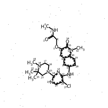 CNC(=O)COc1cc2cc(Nc3nc(N4CCN(C)C(C)(C)C4)ncc3Cl)ccc2n(C)c1=O